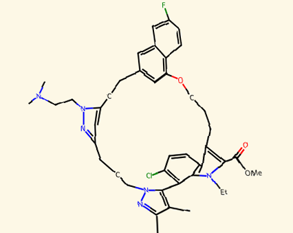 CCn1c(C(=O)OC)c2c3ccc(Cl)c(c31)-c1c(C)c(C)nn1CCCc1cc(n(CCN(C)C)n1)CCc1cc(c3ccc(F)cc3c1)OCCC2